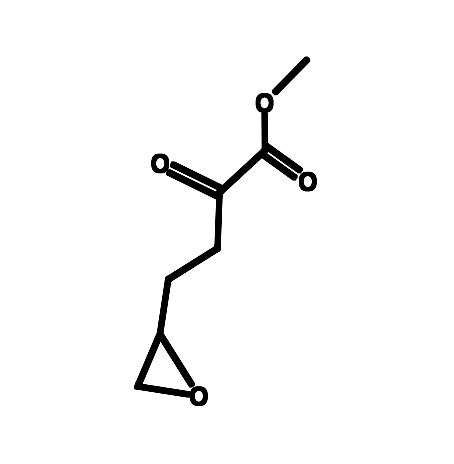 COC(=O)C(=O)CCC1CO1